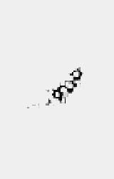 CCOC(=O)COc1cc(C)c(Cc2ccc(O)c(C3CCCCC3)n2)c(C)c1C